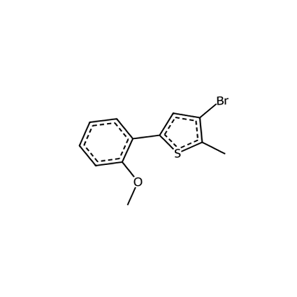 COc1ccccc1-c1cc(Br)c(C)s1